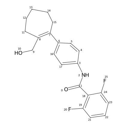 O=C(Nc1ccc(C2=C(CO)CCCCC2)cc1)c1c(F)cccc1F